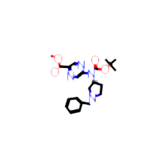 COC(=O)c1cnc(N(C(=O)OC(C)(C)C)[C@@H]2CCN(Cc3ccccc3)C2)cn1